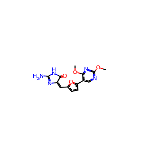 COc1ncc(-c2ccc(C=C3N=C(N)NC3=O)o2)c(OC)n1